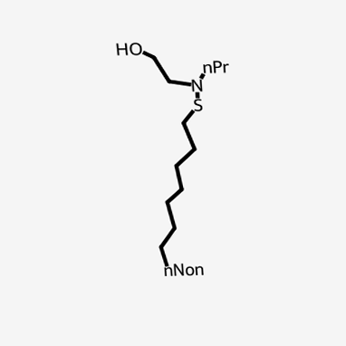 CCCCCCCCCCCCCCCCSN(CCC)CCO